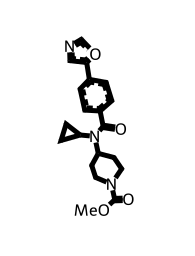 COC(=O)N1CCC(N(C(=O)c2ccc(-c3cnco3)cc2)C2CC2)CC1